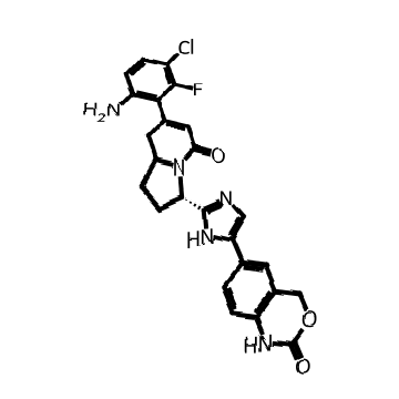 Nc1ccc(Cl)c(F)c1C1=CC(=O)N2C(CC[C@H]2c2ncc(-c3ccc4c(c3)COC(=O)N4)[nH]2)C1